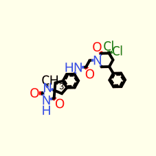 CN1C(=O)NC(=O)C12Cc1ccc(NC(=O)CN3CC(c4ccccc4)CC(Cl)(Cl)C3=O)cc1C2